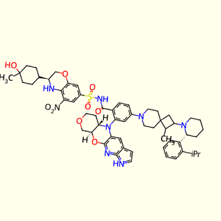 CC(C)c1ccccc1[C@H]1CCCCN1C1CC2(CCN(c3ccc(C(=O)NS(=O)(=O)c4cc5c(c([N+](=O)[O-])c4)N[C@@H](C4CCC(C)(O)CC4)CO5)c(N4c5cc6cc[nH]c6nc5O[C@H]5COCC[C@@H]54)c3)CC2)C1C